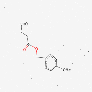 COc1ccc(COC(=O)CCC=O)cc1